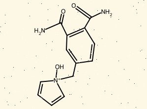 NC(=O)c1ccc(C[N+]2(O)C=CC=C2)cc1C(N)=O